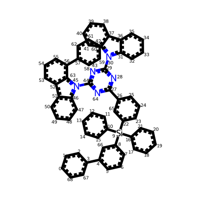 c1ccc(-c2cccc([Si](c3ccccc3)(c3ccccc3)c3cccc(-c4nc(-n5c6ccccc6c6ccccc65)nc(-n5c6ccccc6c6cccc(-c7ccccc7)c65)n4)c3)c2)cc1